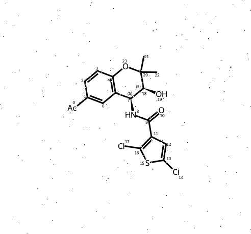 CC(=O)c1ccc2c(c1)[C@H](NC(=O)c1cc(Cl)sc1Cl)[C@H](O)C(C)(C)O2